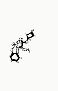 C[C@H](NP(=O)(Cl)Oc1ccccc1)C(=O)OC1CCC1